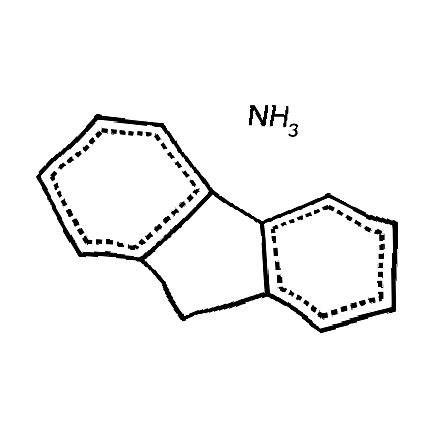 N.c1ccc2c(c1)Cc1ccccc1-2